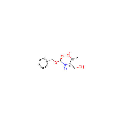 CO[C@@H](C)[C@@H](CO)NC(=O)OCc1ccccc1